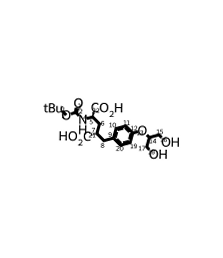 CC(C)(C)OC(=O)N[C@H](C[C@H](Cc1ccc(OC(CO)CO)cc1)C(=O)O)C(=O)O